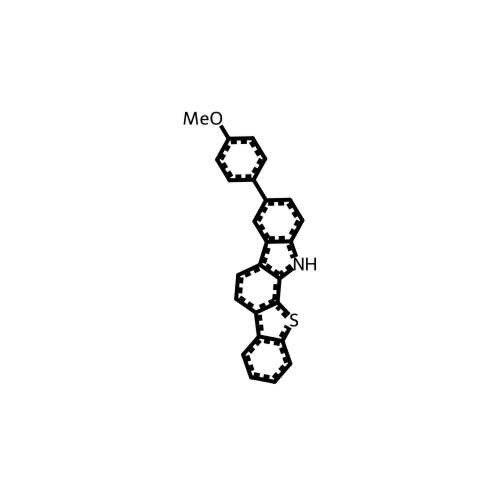 COc1ccc(-c2ccc3[nH]c4c(ccc5c6ccccc6sc54)c3c2)cc1